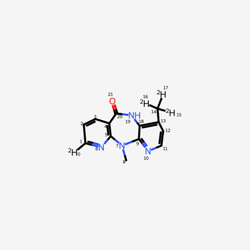 [2H]c1ccc2c(n1)N(C)c1nccc(C([2H])([2H])[2H])c1NC2=O